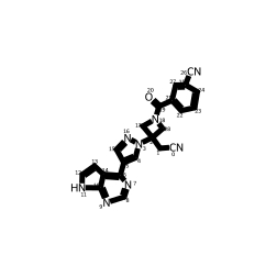 N#CCC1(n2cc(-c3ncnc4[nH]ccc34)cn2)CN(C(=O)c2cccc(C#N)c2)C1